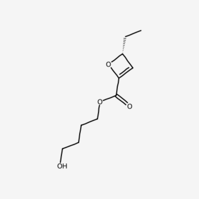 CC[C@@H]1C=C(C(=O)OCCCCO)O1